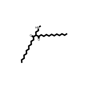 CCCCCCCCCCCC(=O)C(CCNC)C(=O)CCCCCCCCCCC